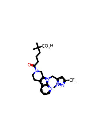 Cn1nc(C(F)(F)F)cc1Cn1c2c(c3cccnc31)CCN(C(=O)CCCC(C)(C)C(=O)O)C2